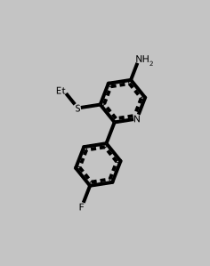 CCSc1cc(N)cnc1-c1ccc(F)cc1